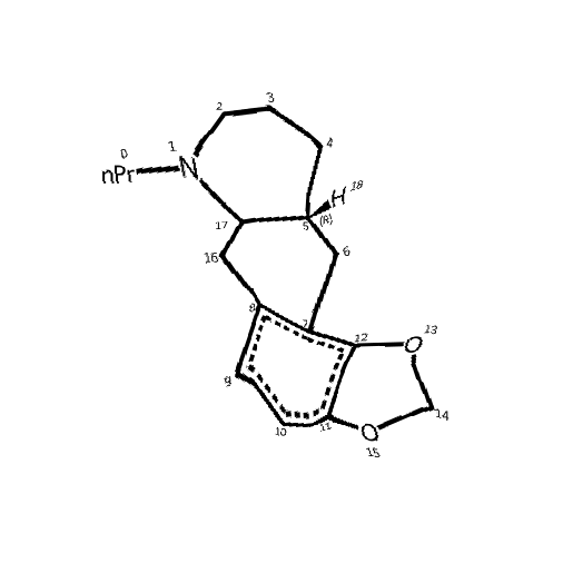 CCCN1CCC[C@@H]2Cc3c(ccc4c3OCO4)CC21